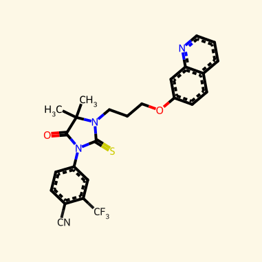 CC1(C)C(=O)N(c2ccc(C#N)c(C(F)(F)F)c2)C(=S)N1CCCOc1ccc2cccnc2c1